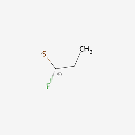 CC[C@H](F)[S]